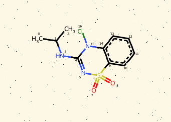 CC(C)NC1=NS(=O)(=O)c2ccccc2N1Cl